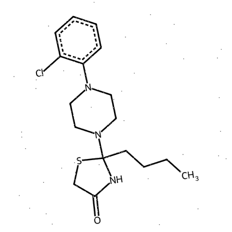 CCCCC1(N2CCN(c3ccccc3Cl)CC2)NC(=O)CS1